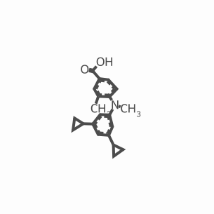 Cc1cc(C(=O)O)ccc1N(C)c1cc(C2CC2)cc(C2CC2)c1